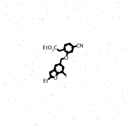 CCOC(=O)Cc1ccc(C#N)cc1OCc1cc(I)c2oc(CC)cc2c1